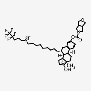 C[C@]12CC[C@@H]3c4ccc(OC(=O)N5CC6COCC6C5)cc4C[C@@H](CCCCCCCCC[S+]([O-])CCCC(F)(F)C(F)(F)F)[C@H]3[C@@H]1CC[C@@H]2O